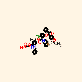 CC(C)Oc1ccc2c(=O)c(-c3ccccc3)coc2c1.COC(=O)[C@H](c1ccccc1Cl)N1CCc2sccc2C1.O=C(O)COc1nn(Cc2ccccc2)c2ccccc12